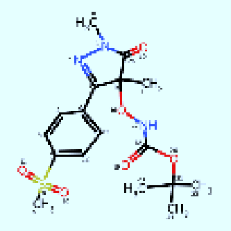 CN1N=C(c2ccc(S(C)(=O)=O)cc2)C(C)(ONC(=O)OC(C)(C)C)C1=O